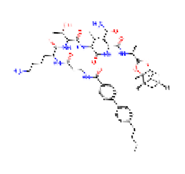 CCCCc1ccc(-c2ccc(C(=O)NCCC(=O)N[C@@H](CCCCN)C(=O)N[C@H](C(=O)N[C@H](C(=O)N[C@@H](CC(N)=O)C(=O)N[C@@H](C)B3OC4C[C@@H]5C[C@@H](C5(C)C)[C@]4(C)O3)C(C)C)[C@@H](C)O)cc2)cc1